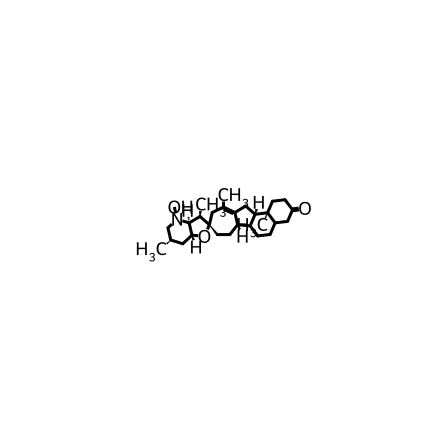 CC1=C2C[C@H]3C(CCC4CC(=O)CC[C@@]43C)[C@@H]2CC[C@@]2(C1)O[C@@H]1C[C@H](C)CN(O)[C@H]1[C@H]2C